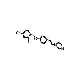 Clc1ccc(COc2ccc(C=Cn3ccnc3)cc2)c(Cl)c1